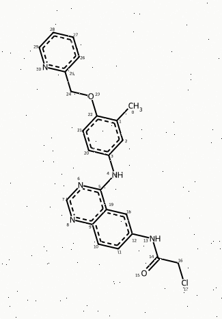 Cc1cc(Nc2ncnc3ccc(NC(=O)CCl)cc23)ccc1OCc1ccccn1